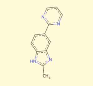 Cc1nc2cc(-c3ncccn3)ccc2[nH]1